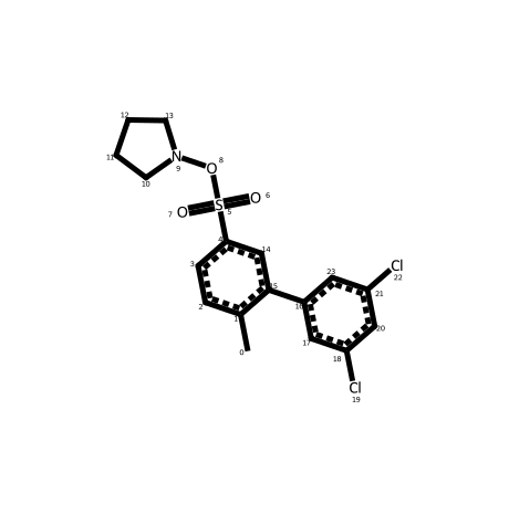 Cc1ccc(S(=O)(=O)ON2CCCC2)cc1-c1cc(Cl)cc(Cl)c1